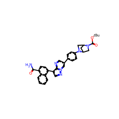 CC(C)(C)OC(=O)N1CC2CC1CN2c1ccc(-c2cnc3c(-c4ccc(C(N)=O)c5ccccc45)cnn3c2)cc1